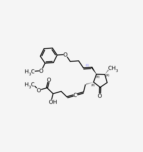 COC(=O)C(O)CC=C=CC[C@H]1C(=O)C[C@@H](C)[C@@H]1/C=C/CCOc1cccc(OC)c1